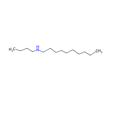 CCCCCCCCCCNCCCC